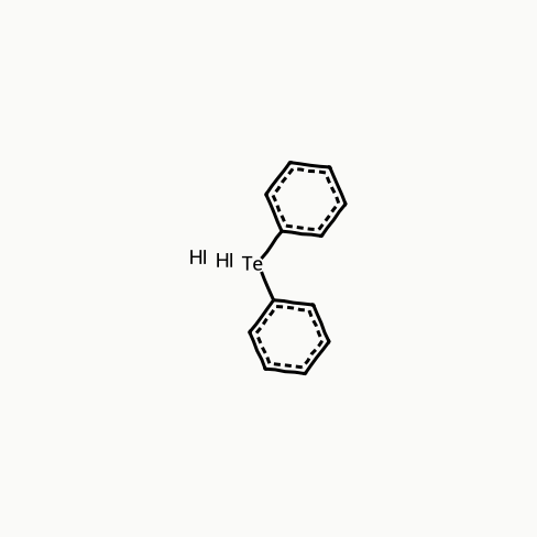 I.I.c1ccc([Te]c2ccccc2)cc1